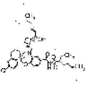 C=CCC[C@@H](CC)S(=O)(=O)NC(=O)c1ccc2c(c1)N(C[C@@H]1CC[C@H]1[C@H](O)/C=C/CCC)C[C@@]1(CCCc3cc(Cl)ccc31)CO2